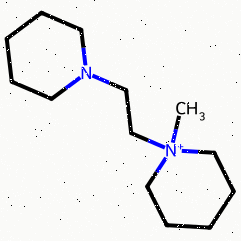 C[N+]1(CCN2CCCCC2)CCCCC1